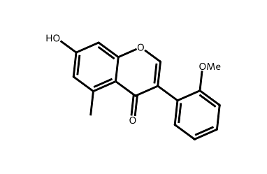 COc1ccccc1-c1coc2cc(O)cc(C)c2c1=O